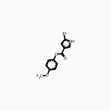 CCc1cc(C(=O)Oc2ccc(OC(F)(F)F)cc2)c[nH]1